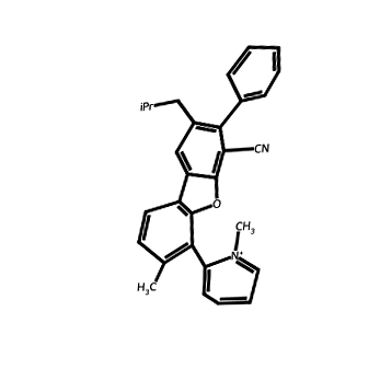 Cc1ccc2c(oc3c(C#N)c(-c4ccccc4)c(CC(C)C)cc32)c1-c1cccc[n+]1C